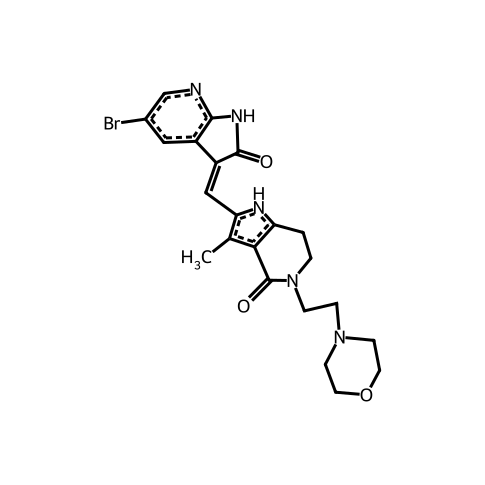 Cc1c(C=C2C(=O)Nc3ncc(Br)cc32)[nH]c2c1C(=O)N(CCN1CCOCC1)CC2